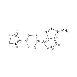 Cn1ccc2c(N3CCN(C4=NCCN4)CC3)cccc21